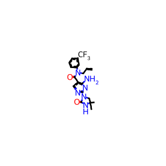 C=CCN(C(=O)c1cnc(N2CC(C)(C)NC2=O)nc1N)c1cccc(C(F)(F)F)c1